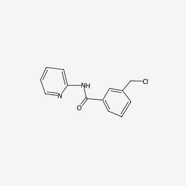 O=C(Nc1ccccn1)c1cccc(CCl)c1